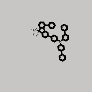 CC1(C)c2ccc(-c3ccc(N(c4ccc(-c5ccccc5)cc4)c4cccc(-c5ccccc5)c4)cc3)cc2-c2c(-c3ccccc3)cccc21